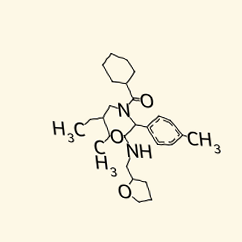 CCC(CC)CN(C(=O)C1CCCCC1)C(C(=O)NCC1CCCO1)c1ccc(C)cc1